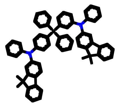 CC1(C)c2ccccc2-c2cc(N(c3ccccc3)c3cccc([Si](c4ccccc4)(c4ccccc4)c4ccc(N(c5ccccc5)c5ccc6c(c5)C(C)(C)c5ccccc5-6)cc4)c3)ccc21